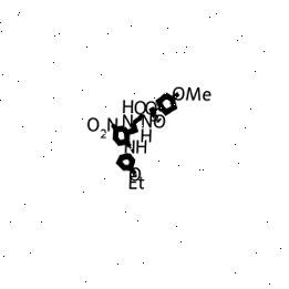 CCOc1cccc(Nc2ccc([N+](=O)[O-])c3[nH]c(C(=O)NS(=O)(=O)c4ccc(OC)cc4)cc23)c1